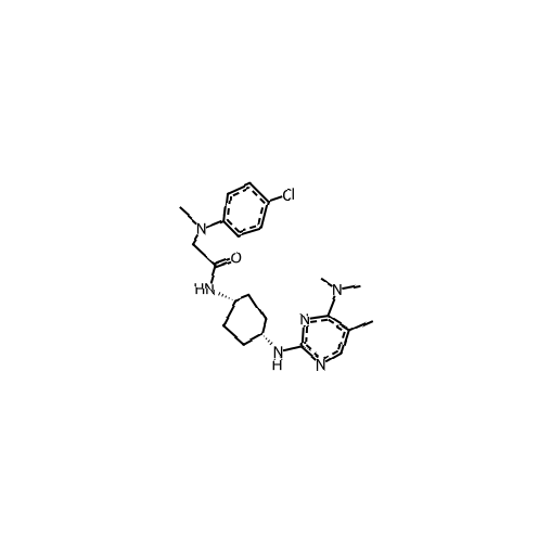 Cc1cnc(N[C@H]2CC[C@@H](NC(=O)CN(C)c3ccc(Cl)cc3)CC2)nc1N(C)C